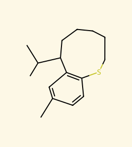 Cc1ccc2c(c1)C(C(C)C)CCCCCS2